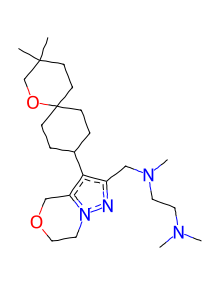 CN(C)CCN(C)Cc1nn2c(c1C1CCC3(CC1)CCC(C)(C)CO3)COCC2